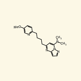 COc1ccc(CCCCc2cc(N(C)C)n3nccc3n2)nc1